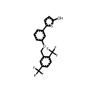 Oc1ccc(-c2cccc(OCc3cc(C(F)(F)F)ccc3C(F)(F)F)c2)s1